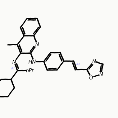 CCC/C(=N\c1c(Nc2ccc(/C=C/c3ncno3)cc2)nc2ccccc2c1C)C1CCCCC1